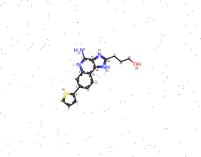 Nc1nc2cc(-c3cccs3)ccc2c2[nH]c(CCCO)nc12